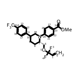 C=CC(F)(F)OC[C@@H]1CCC(c2ccc(C(F)(F)F)cc2)CN1c1ccc(C(=O)OC)cc1